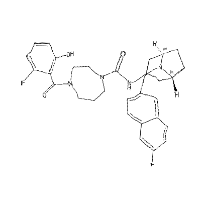 O=C(NC1C[C@H]2CC[C@H](C1)N2Cc1ccc2cc(F)ccc2c1)N1CCCN(C(=O)c2c(O)cccc2F)CC1